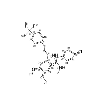 CNC(=O)[C@H](N[C@H](CCc1ccc(C(F)(F)F)cc1)c1ccc(OC)c(OC)c1)c1ccc(Cl)cc1